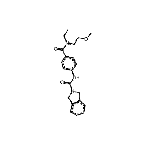 CCN(CCOC)C(=O)c1ccc(NC(=O)N2Cc3ccccc3C2)cc1